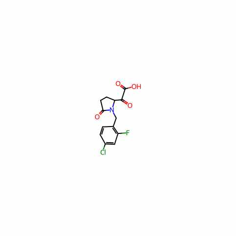 O=C(O)C(=O)C1CCC(=O)N1Cc1ccc(Cl)cc1F